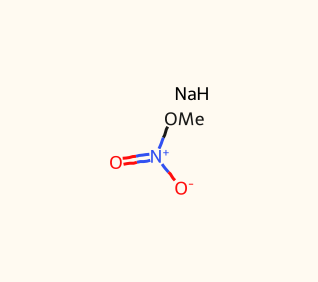 CO[N+](=O)[O-].[NaH]